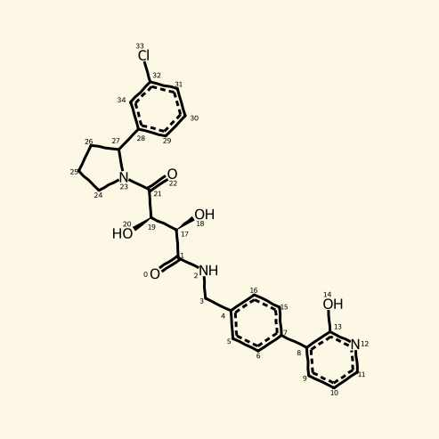 O=C(NCc1ccc(-c2cccnc2O)cc1)[C@H](O)[C@@H](O)C(=O)N1CCCC1c1cccc(Cl)c1